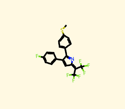 CSc1ccc(C2=NC(=C(C(F)(F)F)C(F)(F)F)C=C2c2ccc(F)cc2)cc1